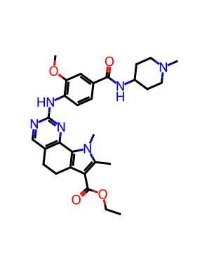 CCOC(=O)c1c2c(n(C)c1C)-c1nc(Nc3ccc(C(=O)NC4CCN(C)CC4)cc3OC)ncc1CC2